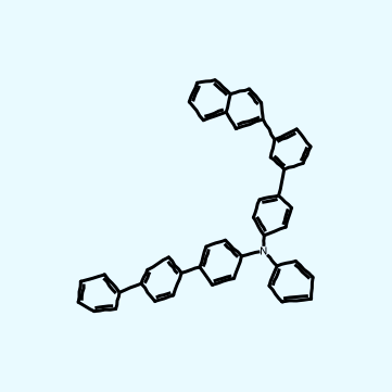 c1ccc(-c2ccc(-c3ccc(N(c4ccccc4)c4ccc(-c5cccc(-c6ccc7ccccc7c6)c5)cc4)cc3)cc2)cc1